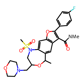 CNC(=O)c1c(-c2ccc(F)cc2)oc2cc3c(cc12)C(C)OC(CN1CCOCC1)CN3S(C)(=O)=O